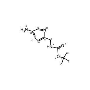 CC(C)(C)OC(=O)NCc1cnc(N)cn1